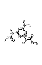 COC(=O)N(C)c1nc(N(C)C)nc(N(C)C(=O)OC)n1